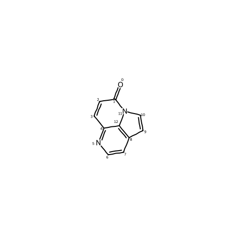 O=c1ccc2nccc3ccn1c32